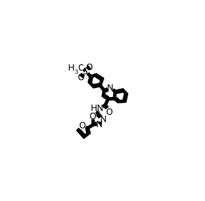 CS(=O)(=O)c1ccc(-c2cc(C(=O)Nc3nnc(-c4ccco4)o3)c3ccccc3n2)cc1